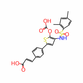 Cc1ccc(S(=O)(=O)Nc2cc(-c3ccc(C=CC(=O)O)cc3)sc2OC(=O)O)c(C)c1